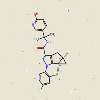 CC(C)(NC(=O)c1nn(-c2ccc(F)cc2F)c2c1C[C@H]1C[C@@H]21)c1ccc(O)nc1